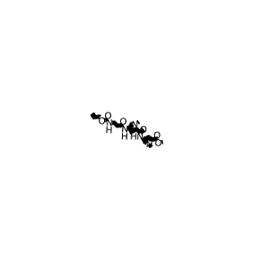 C=CCOC(=O)NCCC(=O)Nc1cc(C(=O)Nc2cc(C(=O)OC)n(C)c2)n(C)c1